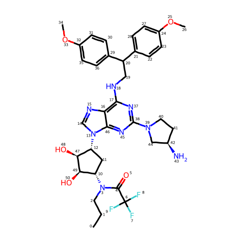 CCCN(C(=O)C(F)(F)F)[C@H]1C[C@@H](n2cnc3c(NCC(c4ccc(OC)cc4)c4ccc(OC)cc4)nc(N4CC[C@@H](N)C4)nc32)[C@H](O)[C@@H]1O